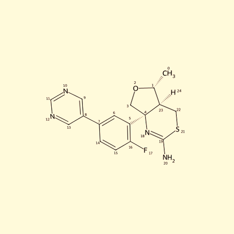 C[C@H]1OC[C@]2(c3cc(-c4cncnc4)ccc3F)N=C(N)SC[C@H]12